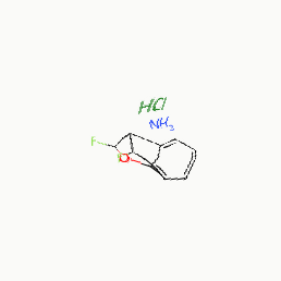 Cl.FC1Oc2c3cccc2C1C3F.N